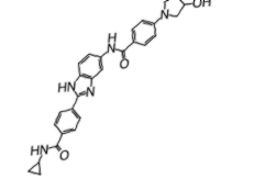 O=C(Nc1ccc2[nH]c(-c3ccc(C(=O)NC4CC4)cc3)nc2c1)c1ccc(N2CCC(O)C2)cc1